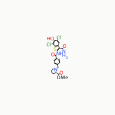 COC(=O)[C@H]1CCCN1Cc1ccc(C(=O)Nc2sc3c(Cl)c(O)c(Cl)cc3c2C(N)=O)cc1